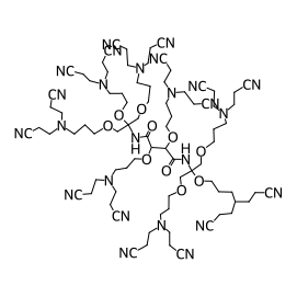 N#CCCC(CCC#N)CCCOC(COCCCN(CCC#N)CCC#N)(COCCCN(CCC#N)CCC#N)NC(=O)C(OCCCN(CCC#N)CCC#N)C(OCCCN(CCC#N)CCC#N)C(=O)NC(COCCCN(CCC#N)CCC#N)(COCCCN(CCC#N)CCC#N)OCCCN(CCC#N)CCC#N